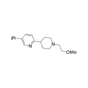 COCCN1CCC(c2ccc(C(C)C)cn2)CC1